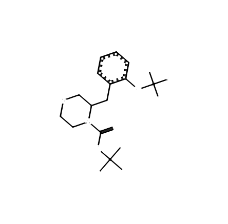 CC(C)(C)OC(=O)N1CCNCC1Cc1ccccc1OC(F)(F)F